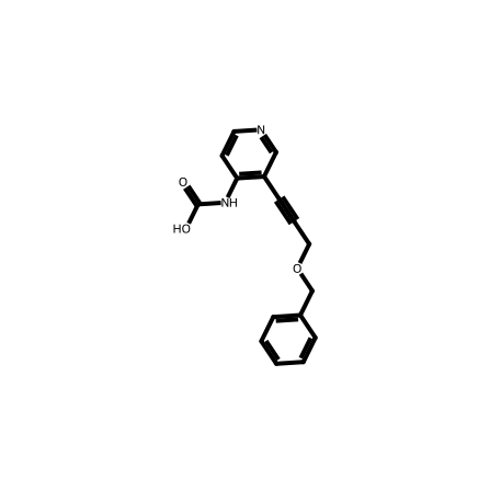 O=C(O)Nc1ccncc1C#CCOCc1ccccc1